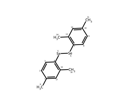 Cc1ccc([Se][Se]c2ccc(C)cc2C)c(C)c1